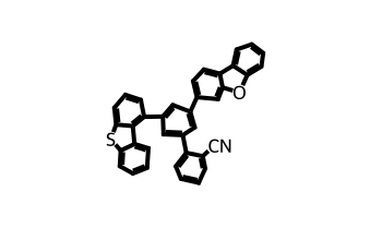 N#Cc1ccccc1-c1cc(-c2ccc3c(c2)oc2ccccc23)cc(-c2cccc3sc4ccccc4c23)c1